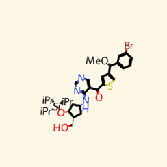 COC(c1cccc(Br)c1)c1csc(C(=O)c2cncnc2N[C@@H]2C[C@H](CO)[C@@H](O[Si](C(C)C)(C(C)C)C(C)C)C2)c1